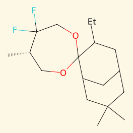 CCC1CC2CC(CC(C)(C)C2)C12OC[C@H](C)C(F)(F)CO2